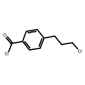 O=C(Cl)c1ccc(CCCCl)cc1